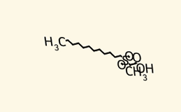 CCCCCCCCCCCCS(=O)(=O)C(C)C(=O)O